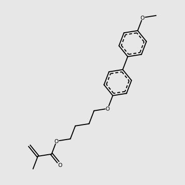 C=C(C)C(=O)OCCCCOc1ccc(-c2ccc(OC)cc2)cc1